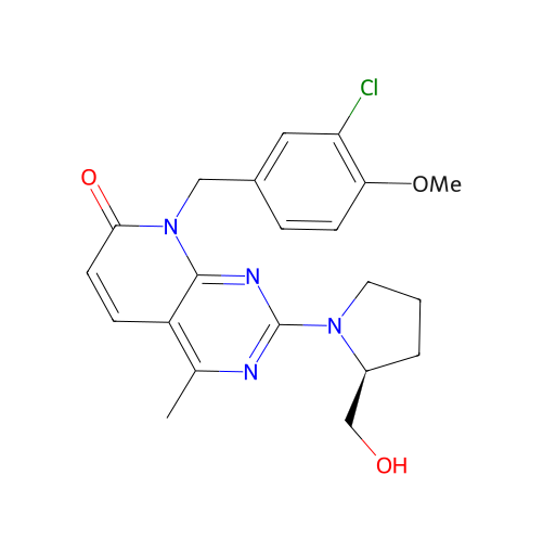 COc1ccc(Cn2c(=O)ccc3c(C)nc(N4CCC[C@H]4CO)nc32)cc1Cl